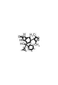 Cc1noc(C)c1-c1cc(C(O)(c2ccccn2)C2CC2)c2[nH]c(=O)[nH]c2c1